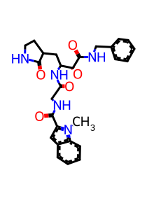 Cn1c(C(=O)NCC(=O)NC(CC2CCNC2=O)C(=O)C(=O)NCc2ccccc2)cc2ccccc21